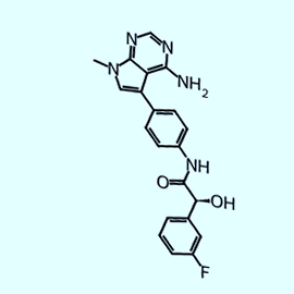 Cn1cc(-c2ccc(NC(=O)[C@@H](O)c3cccc(F)c3)cc2)c2c(N)ncnc21